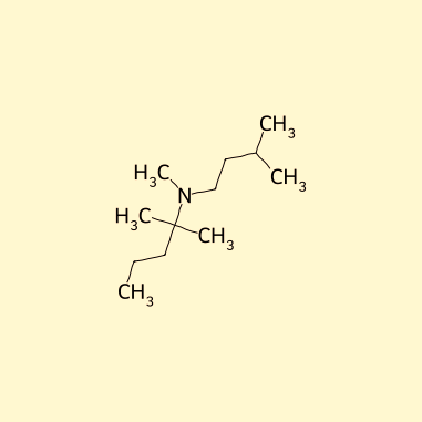 CCCC(C)(C)N(C)CCC(C)C